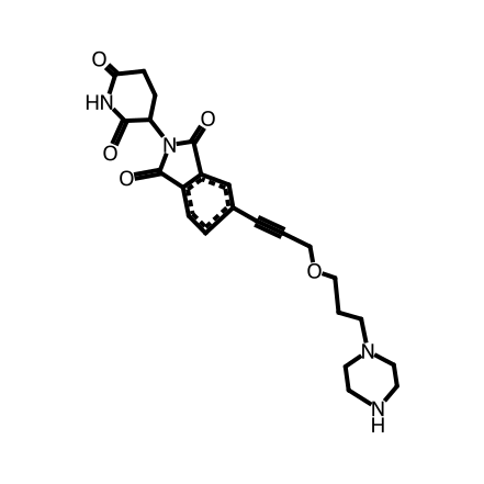 O=C1CCC(N2C(=O)c3ccc(C#CCOCCCN4CCNCC4)cc3C2=O)C(=O)N1